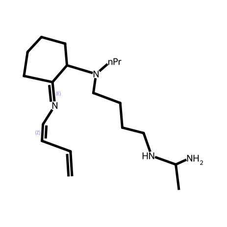 C=C/C=C\N=C1/CCCCC1N(CCC)CCCCNC(C)N